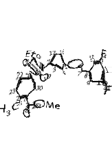 CCN(c1ccc(OCc2cc(F)cc(F)c2)cc1)S(=O)(=O)c1ccc(C)c(C(=O)OC)c1